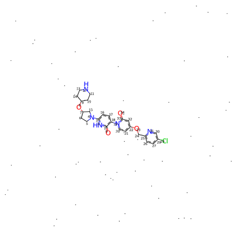 O=c1[nH]c(N2CCC(OC3CCNCC3)C2)ccc1-n1ccc(OCc2ccc(Cl)cn2)cc1=O